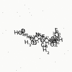 COc1cc2c(Oc3ccc(NC(=O)C4(C(=O)Nc5ccc(F)cc5)CC4)cc3F)ccnc2cc1OCCCCC(=O)O.[CaH2]